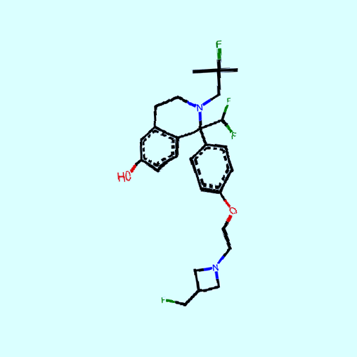 CC(C)(F)CN1CCc2cc(O)ccc2C1(c1ccc(OCCN2CC(CF)C2)cc1)C(F)F